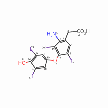 Nc1c(CC(=O)O)cc(I)c(Oc2cc(I)c(O)c(I)c2)c1I